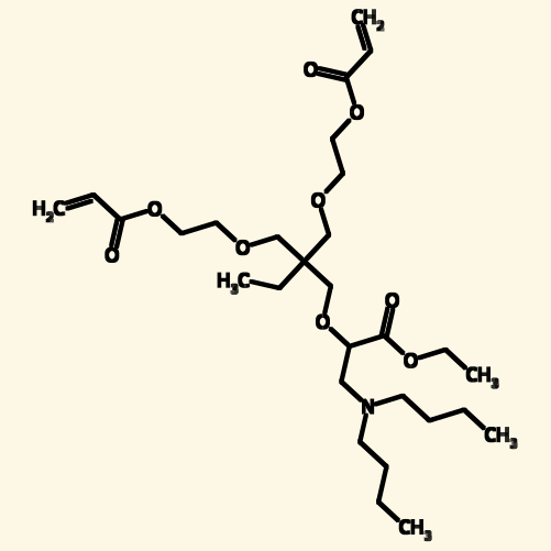 C=CC(=O)OCCOCC(CC)(COCCOC(=O)C=C)COC(CN(CCCC)CCCC)C(=O)OCC